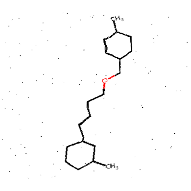 CC1CCC(COCCCCC2CCCC(C)C2)CC1